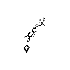 Fc1cc2nc(OCC(F)(F)F)sc2nc1OCC1CCC1